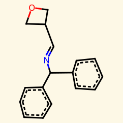 C(=N\C(c1ccccc1)c1ccccc1)/C1COC1